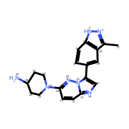 Cc1n[nH]c2ccc(-c3cnc4ccc(N5CCC(N)CC5)nn34)cc12